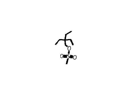 CCC(CC)(CC)COS(C)(=O)=O